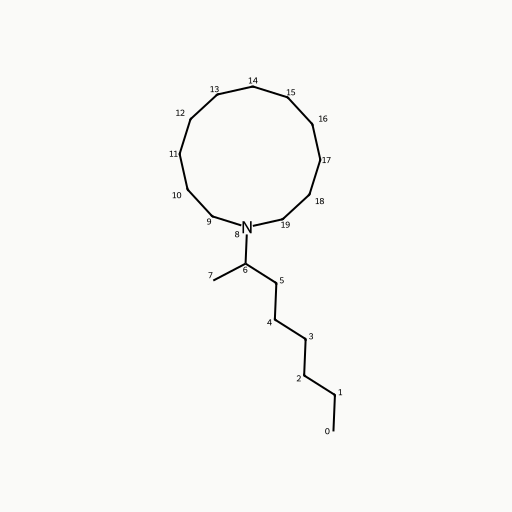 CCCCCCC(C)N1CCCCCCCCCCC1